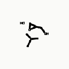 CN(C)C.Cl.OCC1CO1